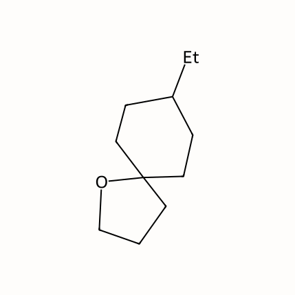 CCC1CCC2(CCCO2)CC1